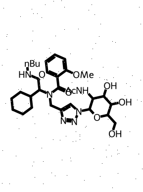 CCCCNC(=O)C(C1CCCCC1)N(Cc1cn(C2OC(CO)C(O)C(O)C2NC(C)=O)nn1)C(=O)c1ccccc1OC